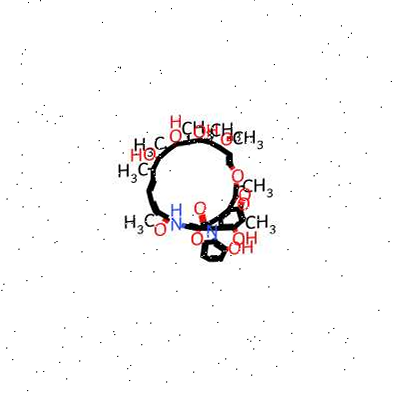 CO[C@H]1/C=C/O[C@@]2(C)Oc3c(C)c(O)c4c(=O)c(c5oc6cccc(O)c6nc-5c4c3C2=O)NC(=O)/C(C)=C\C=C\[C@H](C)[C@H](O)[C@@H](C)[C@@H](O)[C@@H](C)[C@H](O)[C@@H]1C